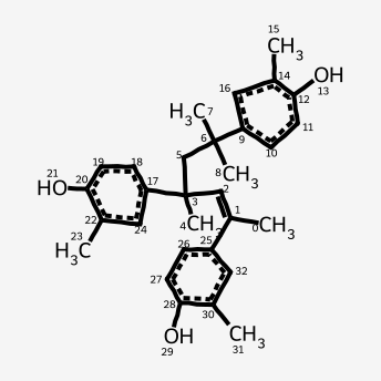 CC(=CC(C)(CC(C)(C)c1ccc(O)c(C)c1)c1ccc(O)c(C)c1)c1ccc(O)c(C)c1